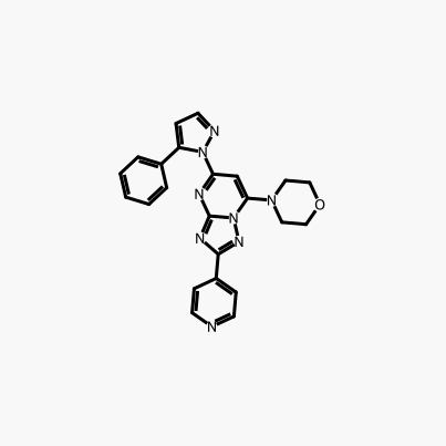 c1ccc(-c2ccnn2-c2cc(N3CCOCC3)n3nc(-c4ccncc4)nc3n2)cc1